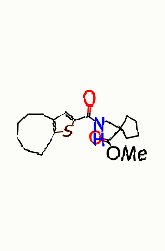 COC(=O)C1(CNC(=O)c2cc3c(s2)CCCCCCC3)CCCC1